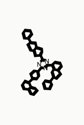 c1ccc(-c2ccc3cc(-c4nc(-c5ccc(-c6cccc7ccccc67)cc5)nc(-c5cccc6ccc(-c7ccccc7)cc56)n4)ccc3c2)cc1